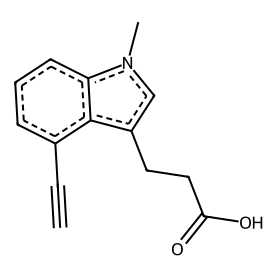 C#Cc1cccc2c1c(CCC(=O)O)cn2C